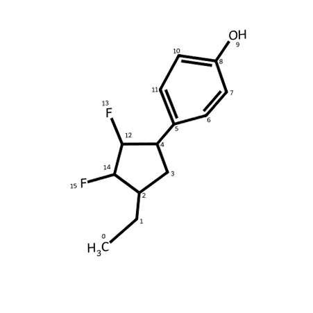 CCC1CC(c2ccc(O)cc2)C(F)C1F